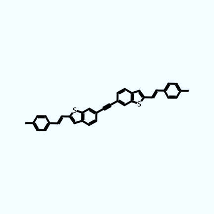 Cc1ccc(/C=C/c2cc3ccc(C#Cc4ccc5cc(/C=C/c6ccc(C)cc6)sc5c4)cc3s2)cc1